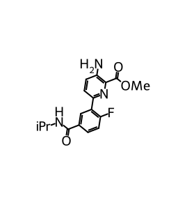 COC(=O)c1nc(-c2cc(C(=O)NC(C)C)ccc2F)ccc1N